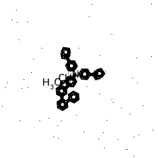 CC1(C)c2ccc(-c3ccccc3-c3ccccc3)cc2-c2ccc(N(c3ccc(C4CC5CCC4C5)cc3)c3ccc(C4CC5CCC4C5)cc3)cc21